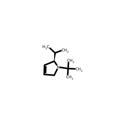 CC(C)[C@@H]1C=CCN1C(C)(C)C